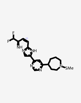 CSN1CCCC(c2cc(-c3cnc(/C=C\C(=N)C(F)F)[nH]3)ncn2)CC1